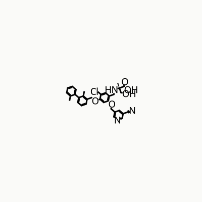 Cc1ccccc1-c1cccc(COc2cc(OCc3cncc(C#N)c3)c(CN[C@@](C)(CO)C(=O)O)cc2Cl)c1C